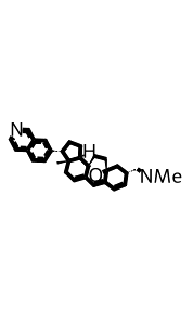 CNC[C@@H]1C=CC2=CC3=CC[C@@]4(C)[C@@H](CC[C@H]4c4ccc5ccncc5c4)[C@@]34CC[C@]2(C1)O4